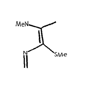 C=N/C(SC)=C(/C)NC